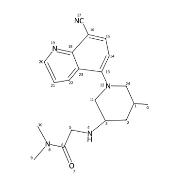 CC1CC(NCC(=O)N(C)C)CN(c2ccc(C#N)c3ncccc23)C1